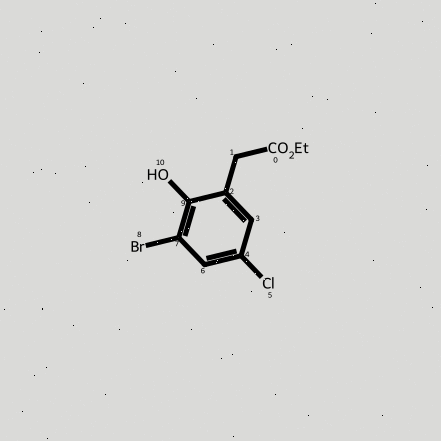 CCOC(=O)Cc1cc(Cl)cc(Br)c1O